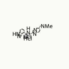 CNCc1ccc2nc(CNC(=O)c3cccc4[nH]ncc34)cn2c1.Cl.Cl